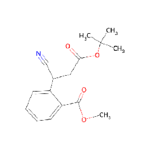 COC(=O)c1ccccc1C(C#N)CC(=O)OC(C)(C)C